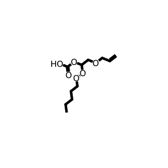 C=CCOCC(OOCCCCC)OC(=O)O